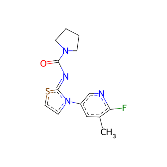 Cc1cc(-n2ccsc2=NC(=O)N2CCCC2)cnc1F